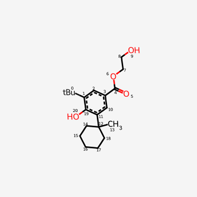 CC(C)(C)c1cc(C(=O)OCCO)cc(C2(C)CCCCC2)c1O